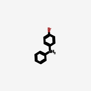 Brc1ccc([SiH2]c2ccccc2)cc1